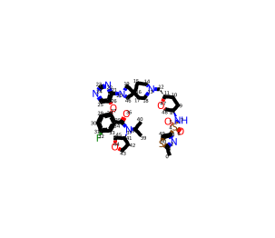 Cc1nc(S(=O)(=O)N[C@@H]2CC[C@@H](CN3CCC4(CC3)CN(c3ncncc3Oc3ccc(F)cc3C(=O)N(C(C)C)[C@@H]3CCOC3)C4)OC2)cs1